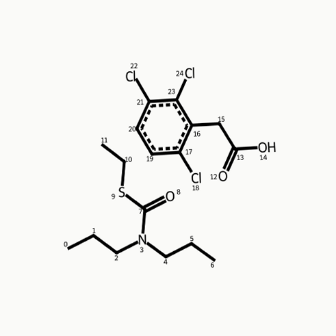 CCCN(CCC)C(=O)SCC.O=C(O)Cc1c(Cl)ccc(Cl)c1Cl